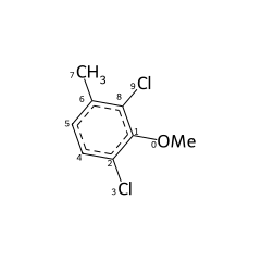 COc1c(Cl)ccc(C)c1Cl